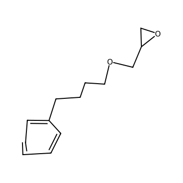 c1ccc(CCCCOCC2CO2)cc1